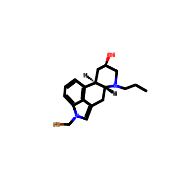 CCCN1C[C@H](O)C[C@@H]2c3cccc4c3c(cn4CS)C[C@H]21